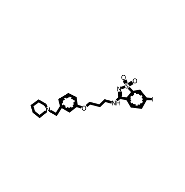 O=S1(=O)N=C(NCCCOc2cccc(CN3CCCCC3)c2)c2ccc(I)cc21